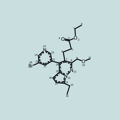 CCOC(=O)CCc1c(COC)nn2c(CC)ccc2c1-c1cncc(Br)c1